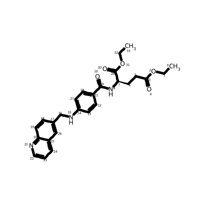 CCOC(=O)CC[C@@H](NC(=O)c1ccc(NCc2ccc3ncccc3c2)cc1)C(=O)OCC